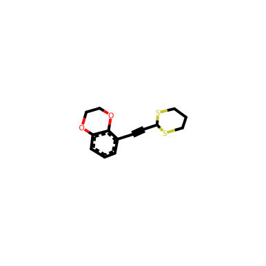 C(#CC1SCCCS1)c1cccc2c1OCCO2